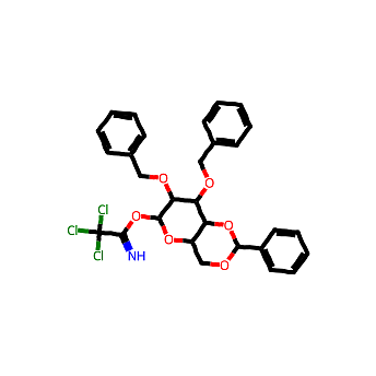 N=C(OC1OC2COC(c3ccccc3)OC2C(OCc2ccccc2)C1OCc1ccccc1)C(Cl)(Cl)Cl